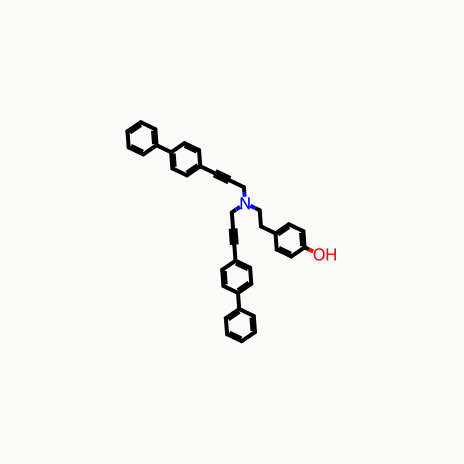 Oc1ccc(CCN(CC#Cc2ccc(-c3ccccc3)cc2)CC#Cc2ccc(-c3ccccc3)cc2)cc1